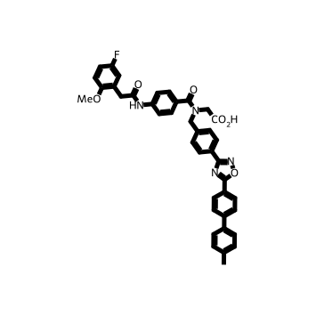 COc1ccc(F)cc1CC(=O)Nc1ccc(C(=O)N(CC(=O)O)Cc2ccc(-c3noc(-c4ccc(-c5ccc(C)cc5)cc4)n3)cc2)cc1